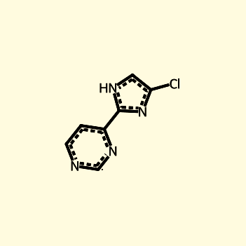 Clc1c[nH]c(-c2ccn[c]n2)n1